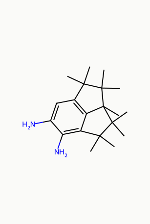 CC1(C)c2cc(N)c(N)c3c2C(C)(C1(C)C)C(C)(C)C3(C)C